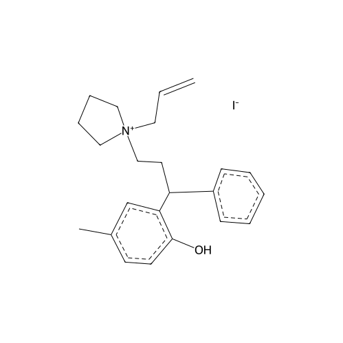 C=CC[N+]1(CCC(c2ccccc2)c2cc(C)ccc2O)CCCC1.[I-]